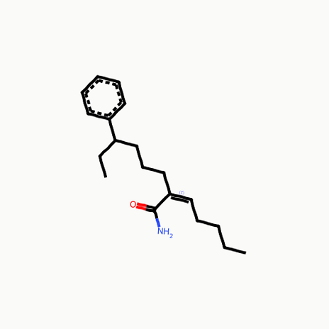 CCCC/C=C(/CCCC(CC)c1ccccc1)C(N)=O